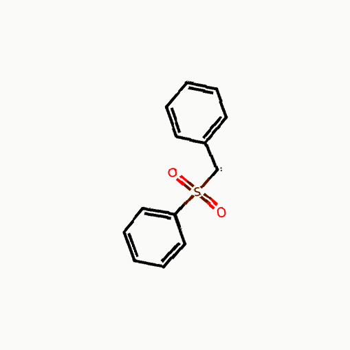 O=S(=O)([C]c1ccccc1)c1ccccc1